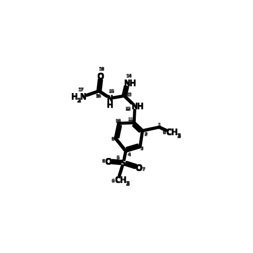 CCc1cc(S(C)(=O)=O)ccc1NC(=N)NC(N)=O